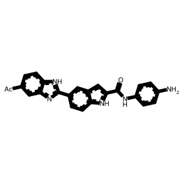 CC(=O)c1ccc2[nH]c(-c3ccc4[nH]c(C(=O)Nc5ccc(N)cc5)cc4c3)nc2c1